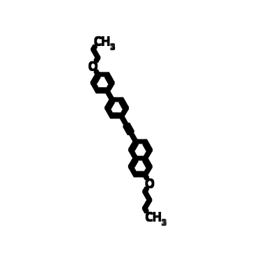 CCCCOc1ccc2cc(C#Cc3ccc(-c4ccc(OCCC)cc4)cc3)ccc2c1